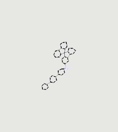 c1ccc(-c2ccc(-c3ccc(Nc4ccc5c(c4)-c4ccccc4C54c5ccccc5-c5ccccc54)cc3)cc2)cc1